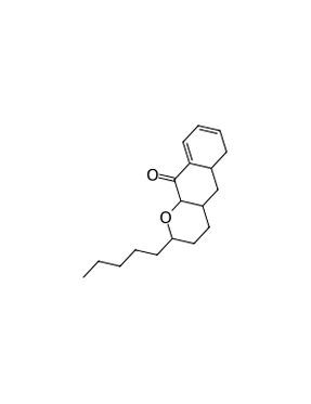 CCCCCC1CCC2CC3CC=CC=C3C(=O)C2O1